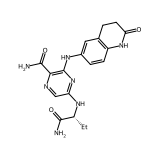 CC[C@@H](Nc1cnc(C(N)=O)c(Nc2ccc3c(c2)CCC(=O)N3)n1)C(N)=O